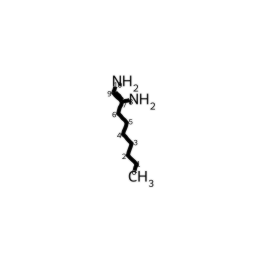 CCCCCCC/C(N)=C/N